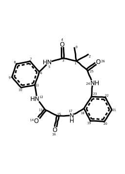 CC1(C)C(=O)Nc2ccccc2NC(=O)C(=O)Nc2ccccc2NC1=O